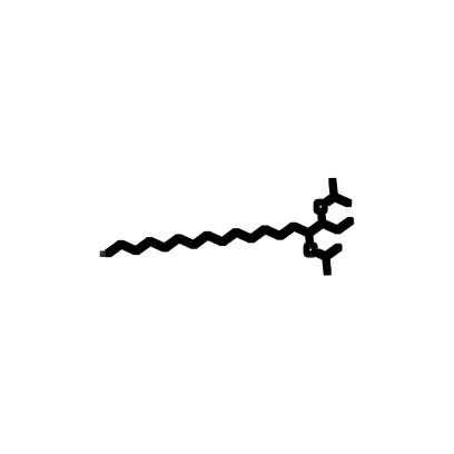 [CH2]CCCCCCCCCCCCCC(OC(C)C)C(CC)OC(C)C